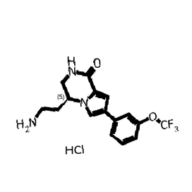 Cl.NCC[C@H]1CNC(=O)c2cc(-c3cccc(OC(F)(F)F)c3)cn21